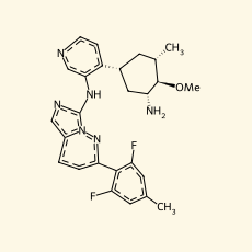 CO[C@H]1[C@H](N)C[C@H](c2ccncc2Nc2ncc3ccc(-c4c(F)cc(C)cc4F)nn23)C[C@@H]1C